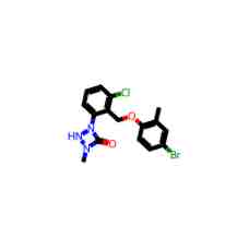 Cc1cc(Br)ccc1OCc1c(Cl)cccc1-n1[nH]n(C)c1=O